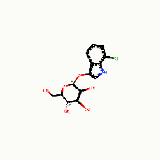 OCC1O[C@@H](Oc2c[nH]c3c(Cl)cccc23)C(O)C(O)[C@@H]1O